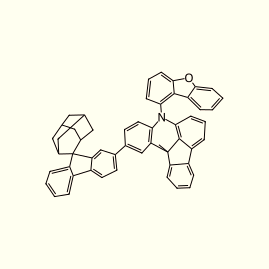 CC12c3ccccc3-c3cccc(c31)N(c1cccc3oc4ccccc4c13)c1ccc(-c3ccc4c(c3)C3(c5ccccc5-4)C4CC5CC(C4)CC3C5)cc12